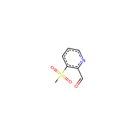 CS(=O)(=O)c1cccnc1C=O